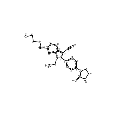 CCn1c(-c2ccc(N3CCOC3=O)cc2)c(C#N)c2ccc(NCCCCl)cc21